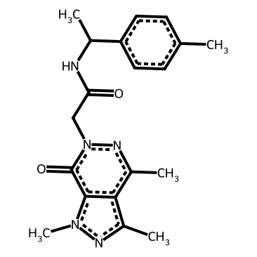 Cc1ccc(C(C)NC(=O)Cn2nc(C)c3c(C)nn(C)c3c2=O)cc1